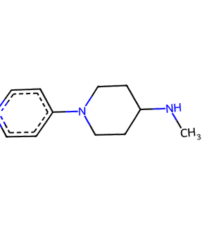 CNC1CCN(c2ccncc2)CC1